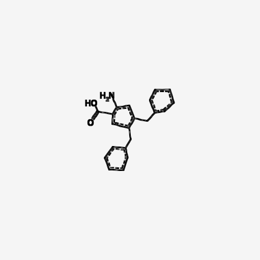 Nc1cc(Cc2ccccc2)c(Cc2ccccc2)cc1C(=O)O